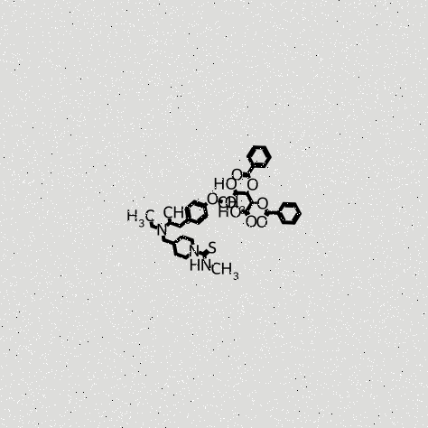 CCN(CC1CCN(C(=S)NC)CC1)C(C)Cc1ccc(OC)cc1.O=C(O[C@@H](C(=O)O)[C@@H](OC(=O)c1ccccc1)C(=O)O)c1ccccc1